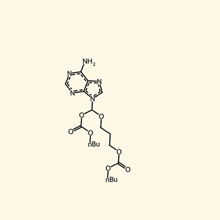 CCCCOC(=O)OCCCOC(OC(=O)OCCCC)n1cnc2c(N)ncnc21